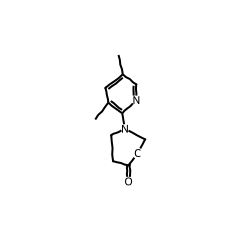 Cc1cnc(N2CCC(=O)CC2)c(C)c1